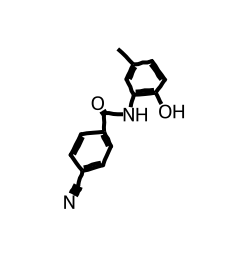 Cc1ccc(O)c(NC(=O)c2ccc(C#N)cc2)c1